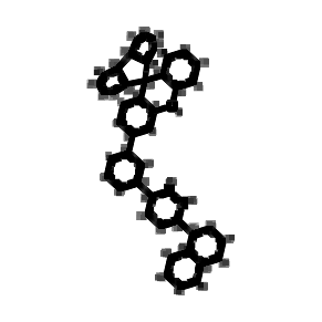 c1cc(-c2ccc3c(c2)Oc2ccccc2C32c3ccccc3-c3ccccc32)cc(-c2ccc(-c3cccc4ccccc34)nn2)c1